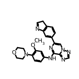 COc1cc(Nc2nc(-c3ccc4c(c3)N=CC4)cn3ncnc23)ccc1N1CCOCC1